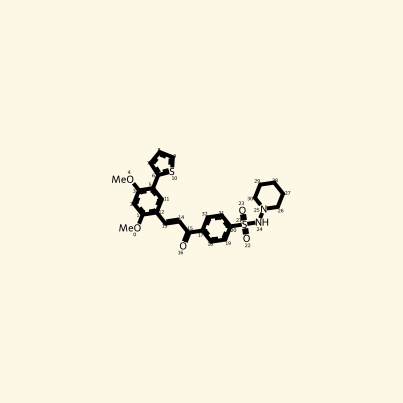 COc1cc(OC)c(-c2cccs2)cc1C=CC(=O)c1ccc(S(=O)(=O)NN2CCCCC2)cc1